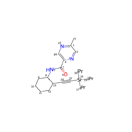 Cc1cnc(C(=O)NC2CCCCC2C#C[Si](C(C)C)(C(C)C)C(C)C)cn1